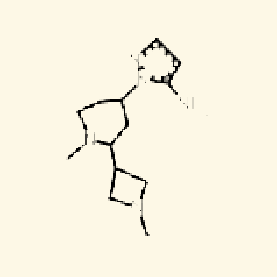 CN1CC(C2CC(n3nccc3N)CCN2C)C1